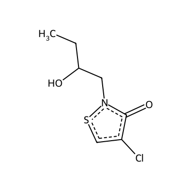 CCC(O)Cn1scc(Cl)c1=O